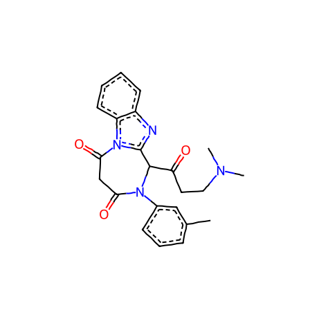 Cc1cccc(N2C(=O)CC(=O)n3c(nc4ccccc43)C2C(=O)CCN(C)C)c1